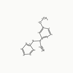 COc1cccc(C(C#N)Cc2ccccc2)c1